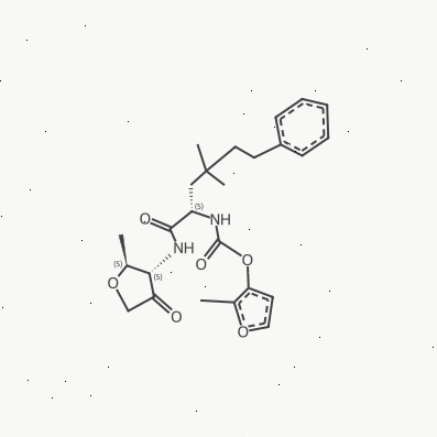 Cc1occc1OC(=O)N[C@@H](CC(C)(C)CCc1ccccc1)C(=O)N[C@@H]1C(=O)CO[C@H]1C